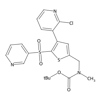 CN(Cc1cc(-c2cccnc2Cl)c(S(=O)(=O)c2cccnc2)s1)C(=O)OC(C)(C)C